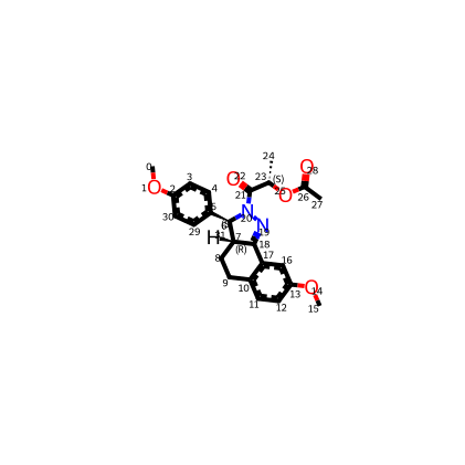 COc1ccc([C@@H]2[C@H]3CCc4ccc(OC)cc4C3=NN2C(=O)[C@H](C)OC(C)=O)cc1